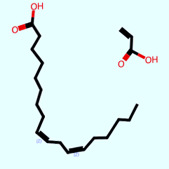 C=CC(=O)O.CCCCC/C=C\C/C=C\CCCCCCCC(=O)O